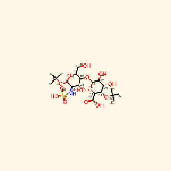 CC(C)(C)O[C@H]1OC(CO)[C@@H](O[C@@H]2OC(C(=O)O)[C@@H](OC(C)(C)C)[C@@H](O)C2O)[C@@H](O)C1NS(=O)(=O)O